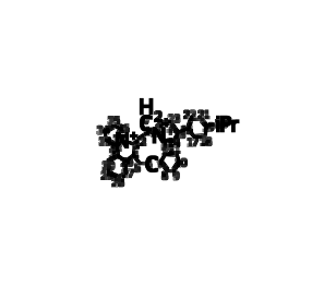 C=C1CC2C(CCc3ccccc3-c3cc(-c4ccc(C(C)C)cc4)cc[n+]31)c1ccccc1-c1cccc[n+]12